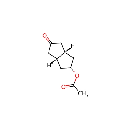 CC(=O)O[C@H]1C[C@H]2CC(=O)C[C@H]2C1